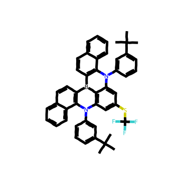 CC(C)(C)c1cccc(N2c3cc(SC(F)(F)F)cc4c3B(c3ccc5ccccc5c32)c2ccc3ccccc3c2N4c2cccc(C(C)(C)C)c2)c1